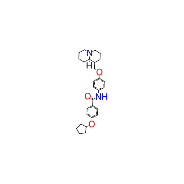 O=C(Nc1ccc(OC[C@@H]2CCCN3CCCC[C@H]23)cc1)c1ccc(OC2CCCC2)cc1